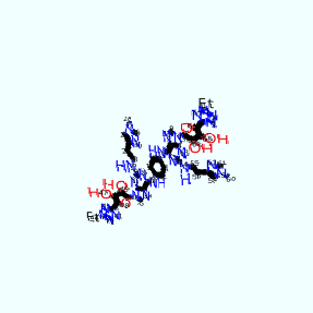 CCn1nnc(C2OC(n3cnc4c(NC5CCC(Nc6nc(NCCc7cn(C)cn7)nc7c6ncn7C6OC(c7nnn(CC)n7)C(O)C6O)CC5)nc(NCCc5cn(C)cn5)nc43)C(O)C2O)n1